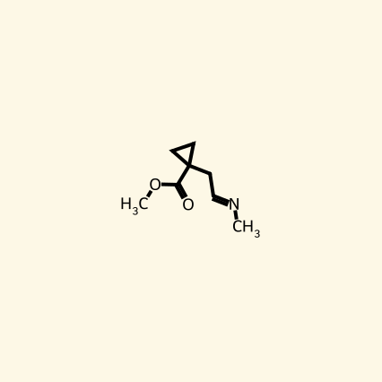 C/N=C/CC1(C(=O)OC)CC1